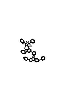 C1=c2sc3c(-c4nc(-c5ccccc5)nc(-c5ccccc5)n4)cc(-c4cccc(-n5c6cc(-c7ccccc7)ccc6c6ccc(-c7ccccc7)cc65)c4)cc3c2=CCC1